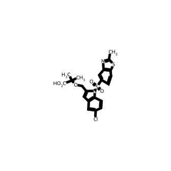 Cc1nc2cc(S(=O)(=O)n3c(COC(C)(C)C(=O)O)cc4cc(Cl)ccc43)ccc2s1